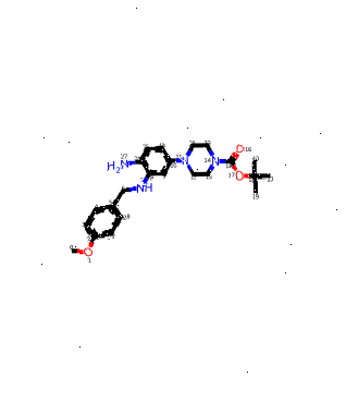 COc1ccc(CNc2cc(N3CCN(C(=O)OC(C)(C)C)CC3)ccc2N)cc1